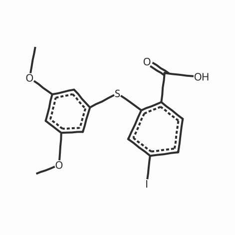 COc1cc(OC)cc(Sc2cc(I)ccc2C(=O)O)c1